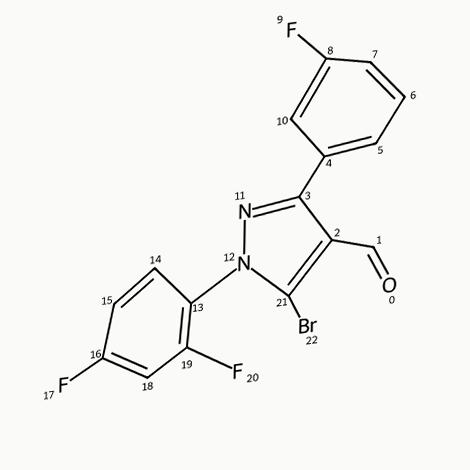 O=Cc1c(-c2cccc(F)c2)nn(-c2ccc(F)cc2F)c1Br